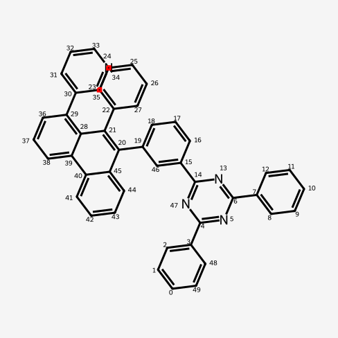 c1ccc(-c2nc(-c3ccccc3)nc(-c3cccc(-c4c(-c5ccccc5)c5c(-c6cccnc6)cccc5c5ccccc45)c3)n2)cc1